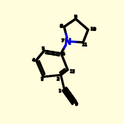 C#Cc1cccc(N2CCCC2)c1